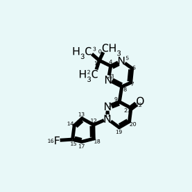 CC(C)(C)c1nccc(-c2nn(-c3ccc(F)cc3)ccc2=O)n1